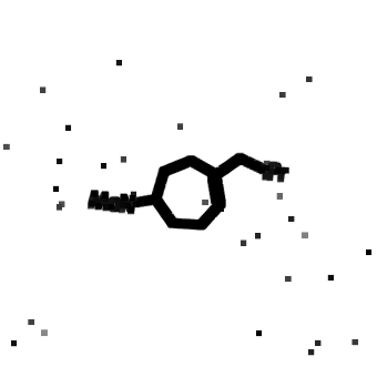 CNC1CCC=C(CC(C)C)CC1